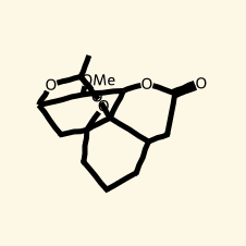 COC1C2CC34CCCC5CC(=O)OC1C53OC(C)(O2)O4